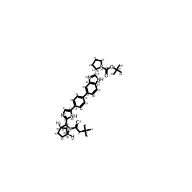 CC(C)(C)CC(=O)N1C(c2ncc(-c3ccc(-c4ccc5[nH]c([C@@H]6CCCN6C(=O)OC(C)(C)C)nc5c4)cc3)[nH]2)[C@H]2CC[C@@H]1C2